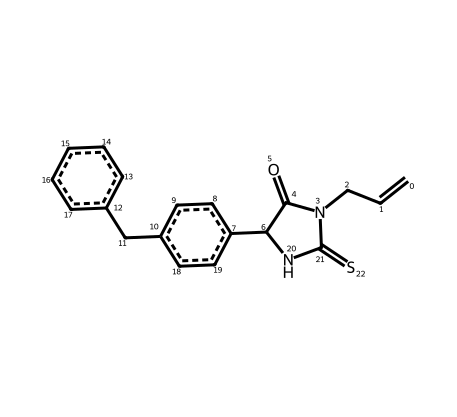 C=CCN1C(=O)C(c2ccc(Cc3ccccc3)cc2)NC1=S